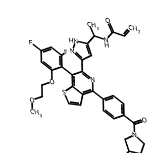 C=CC(=O)NC(C)c1cc(-c2nc(-c3ccc(C(=O)N4CC(F)C(F)C4)cc3)c3ccsc3c2-c2c(F)cc(F)cc2OCCOC)n[nH]1